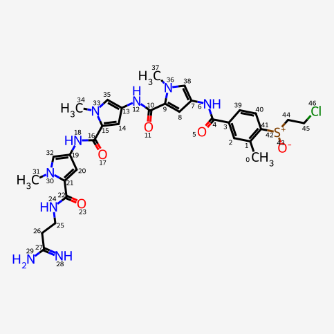 Cc1cc(C(=O)Nc2cc(C(=O)Nc3cc(C(=O)Nc4cc(C(=O)NCCC(=N)N)n(C)c4)n(C)c3)n(C)c2)ccc1[S+]([O-])CCCl